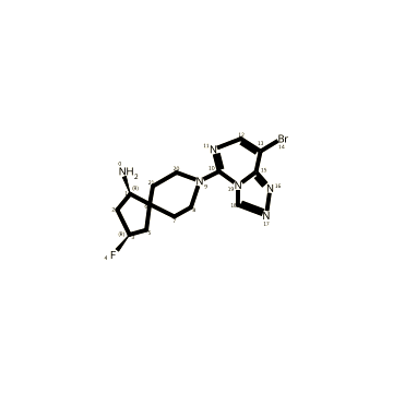 N[C@@H]1C[C@H](F)CC12CCN(c1ncc(Br)c3nncn13)CC2